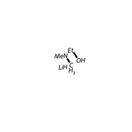 CCO.CNC.[LiH]